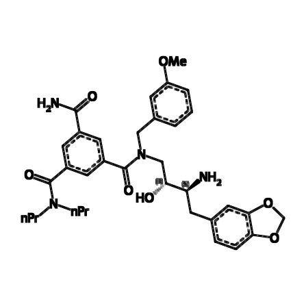 CCCN(CCC)C(=O)c1cc(C(N)=O)cc(C(=O)N(Cc2cccc(OC)c2)C[C@@H](O)[C@@H](N)Cc2ccc3c(c2)OCO3)c1